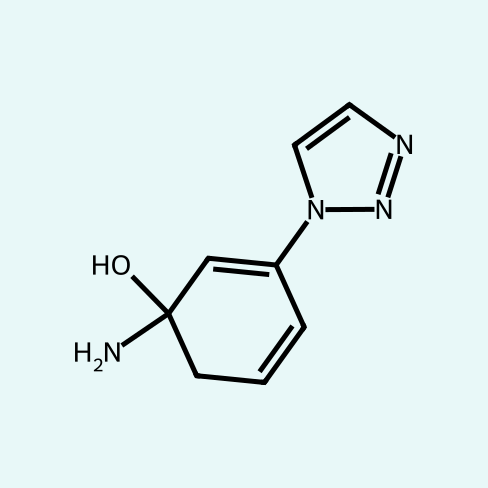 NC1(O)C=C(n2ccnn2)C=CC1